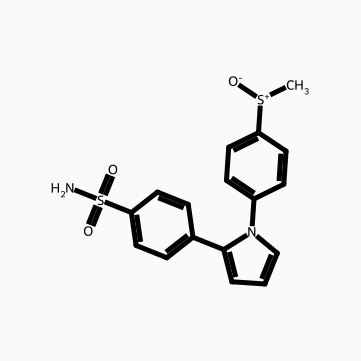 C[S+]([O-])c1ccc(-n2cccc2-c2ccc(S(N)(=O)=O)cc2)cc1